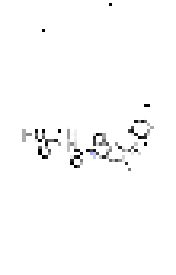 Cc1cc(/C=C/C(=O)NCCC(=O)O)c(Cl)cc1Sc1ccc(F)cc1